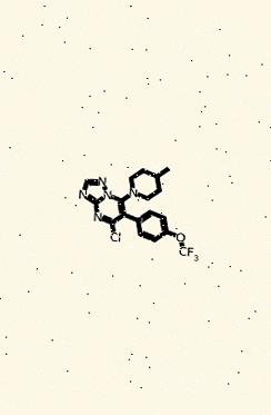 CC1CCN(c2c(-c3ccc(OC(F)(F)F)cc3)c(Cl)nc3ncnn23)CC1